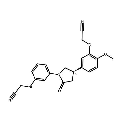 COc1ccc([C@H]2CC(=O)N(c3cccc(NCC#N)c3)C2)cc1OCC#N